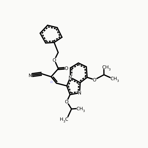 CC(C)Oc1nc2c(OC(C)C)cccn2c1/C=C(/C#N)C(=O)OCc1ccccc1